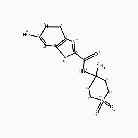 CC1(NC(=O)c2nc3cnc(O)cc3s2)CCS(=O)(=O)CC1